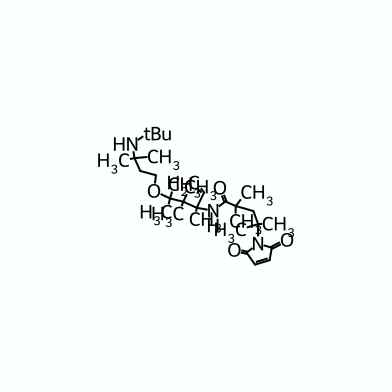 C=CC(C)(NC(=O)C(C)(C)CC(C)(C)N1C(=O)C=CC1=O)C(C)(C)C(C)(C)OCCC(C)(C)NC(C)(C)C